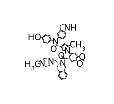 Cc1cc(C(=O)N(c2ccc(O)cc2)c2ccc3c(c2)CCN3)cn1-c1cc2c(cc1C(=O)N1Cc3ccccc3C[C@H]1CN1CCN(C)CC1)OCO2